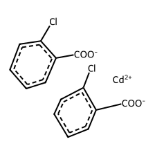 O=C([O-])c1ccccc1Cl.O=C([O-])c1ccccc1Cl.[Cd+2]